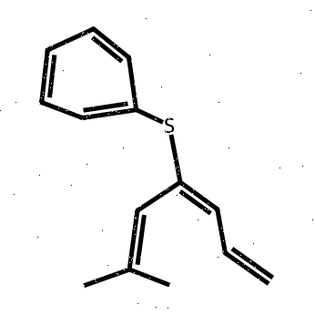 C=C/C=C(\C=C(C)C)Sc1ccccc1